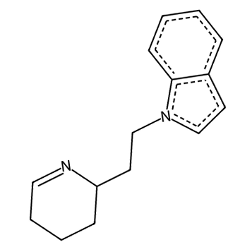 C1=NC(CCn2ccc3ccccc32)CCC1